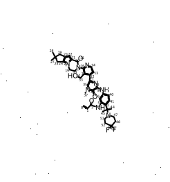 C=CC(=O)Nc1cc(Nc2nc(-c3ccnc(N4CCn5c(cc6c5CC(C)(C)C6)C4=O)c3CO)cn(C)c2=O)ccc1C(C)(C)N1CCC(F)(F)CC1